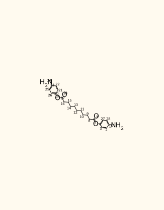 Nc1ccc(OC(=O)CCCCCCCCCC(=O)Oc2ccc(N)cc2)cc1